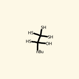 CCCCC(O)(S)C(S)(S)S